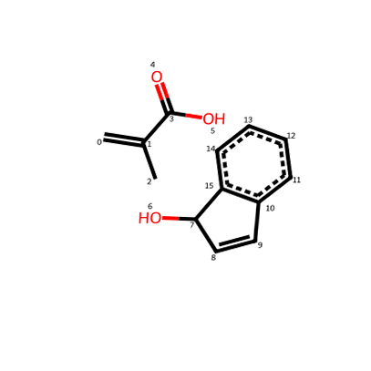 C=C(C)C(=O)O.OC1C=Cc2ccccc21